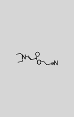 CCN(/C=C/C(=O)OCCC#N)CC